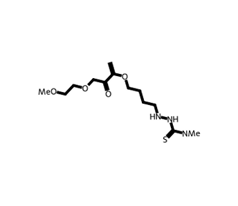 C=C(OCCCCNNC(=S)NC)C(=O)COCCOC